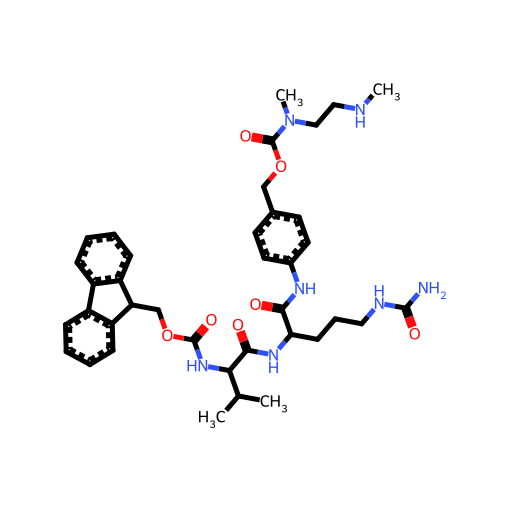 CNCCN(C)C(=O)OCc1ccc(NC(=O)C(CCCNC(N)=O)NC(=O)C(NC(=O)OCC2c3ccccc3-c3ccccc32)C(C)C)cc1